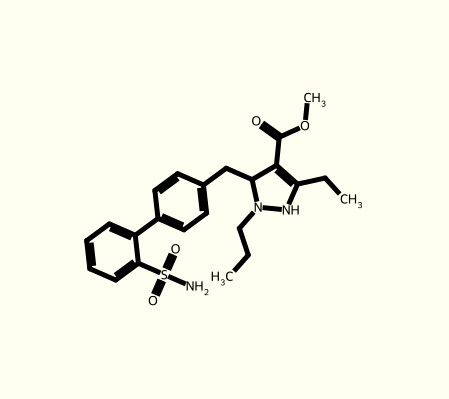 CCCN1NC(CC)=C(C(=O)OC)C1Cc1ccc(-c2ccccc2S(N)(=O)=O)cc1